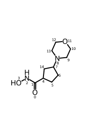 O=C(NO)C1CCC(N2CCOCC2)C1